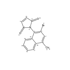 Cc1cc(Br)c(N2C(=O)C=CC2=O)c2ccccc12